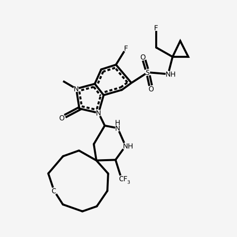 Cn1c(=O)n(C2CC3(CCCCCCCCC3)C(C(F)(F)F)NN2)c2cc(S(=O)(=O)NC3(CF)CC3)c(F)cc21